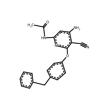 CC(=O)Nc1cc(N)c(C#N)c(Oc2ccc(Cc3ccccc3)cc2)n1